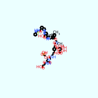 Cc1c(-c2ccc(N3CCc4cccc(C(=O)Nc5nc6ccccc6s5)c4C3)nc2C(=O)O)cnn1CC12CC(OCCN(C)C(=O)OCc3ccc(CCCCNC(=O)CN4C(=O)[C@@H](NC(=O)CCC(=O)O)C[C@H]4COCCS(=O)(=O)O)cc3O[C@@H]3O[C@H](C(=O)O)[C@@H](O)[C@H](O)[C@H]3O)C3CCC(C)(C1)CC3(C)C2